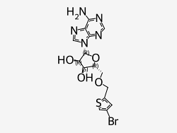 Nc1ncnc2c1ncn2[C@@H]1O[C@H](COCc2cc(Br)cs2)[C@@H](O)[C@H]1O